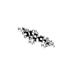 CC[C@H]1CN(c2c(C)nc(C(=O)NN)c(=O)n2C)CCN1C1CCN(C(=O)OC(C)(C)C)CC1